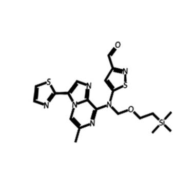 Cc1cn2c(-c3nccs3)cnc2c(N(COCC[Si](C)(C)C)c2cc(C=O)ns2)n1